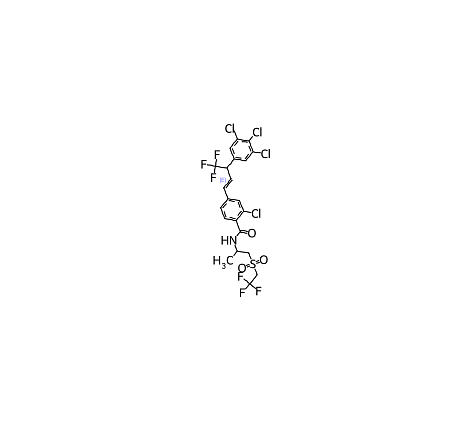 CC(CS(=O)(=O)CC(F)(F)F)NC(=O)c1ccc(/C=C/C(c2cc(Cl)c(Cl)c(Cl)c2)C(F)(F)F)cc1Cl